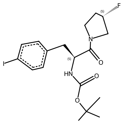 CC(C)(C)OC(=O)N[C@@H](Cc1ccc(I)cc1)C(=O)N1CC[C@H](F)C1